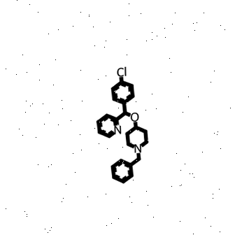 Clc1ccc(C(OC2CCN(Cc3ccccc3)CC2)c2ccccn2)cc1